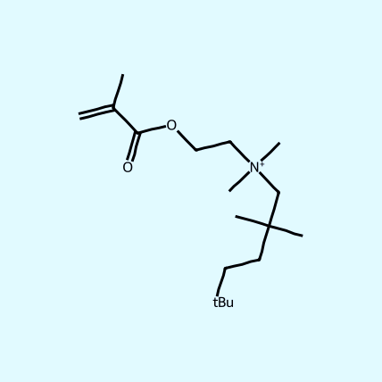 C=C(C)C(=O)OCC[N+](C)(C)CC(C)(C)CCC(C)(C)C